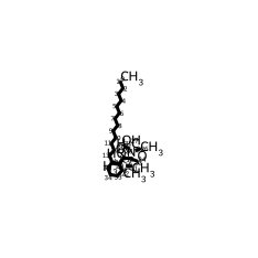 CCCCCCCCCCCCCCC1=C([C@@H](O)[C@]2(C(C)(C)C)COC(C)(C)N2C(=O)O)CCCC1